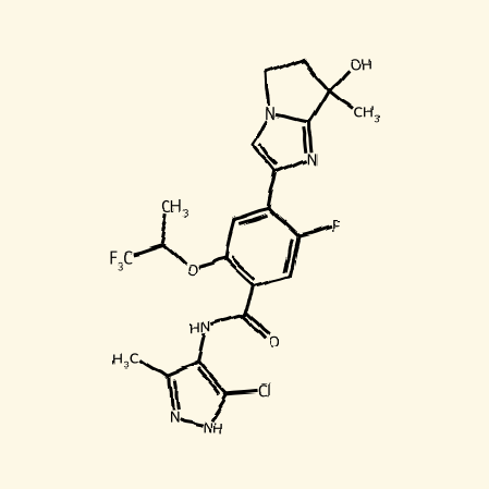 Cc1n[nH]c(Cl)c1NC(=O)c1cc(F)c(-c2cn3c(n2)C(C)(O)CC3)cc1OC(C)C(F)(F)F